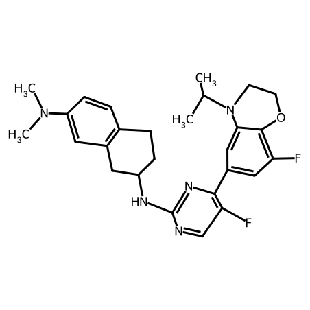 CC(C)N1CCOc2c(F)cc(-c3nc(NC4CCc5ccc(N(C)C)cc5C4)ncc3F)cc21